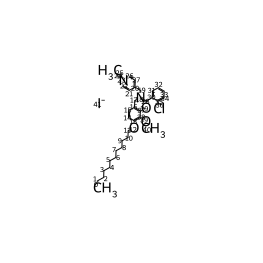 CCCCCCCCCCCCOc1ccc(CN(Cc2cc[n+](CC)cc2)C(=O)c2ccccc2Cl)cc1OC.[I-]